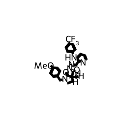 [2H]C([2H])([2H])C1(c2nnc(-c3ncccc3Nc3ccc(C(F)(F)F)cc3)o2)CCN(Cc2ccc(OC)cc2)C1=O